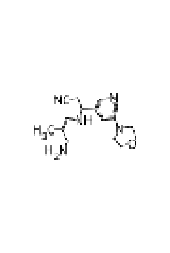 C/C(=C/NC(CC#N)c1cncc(N2CCOCC2)c1)CN